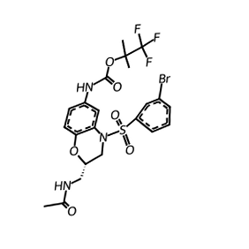 CC(=O)NC[C@H]1CN(S(=O)(=O)c2cccc(Br)c2)c2cc(NC(=O)OC(C)(C)C(F)(F)F)ccc2O1